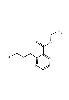 CCOC(=O)c1cccnc1CCCO